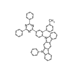 Cc1cccc(-c2cc(-c3nc(-c4ccccc4)nc(-c4ccccc4)n3)ccc2-n2c3ccccc3c3cc4c5ccccc5n(-c5ccccc5)c4cc32)c1